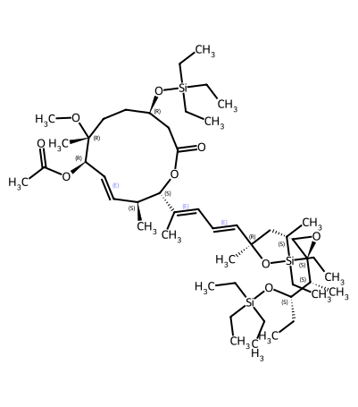 CC[C@H](O[Si](CC)(CC)CC)[C@@H](C)[C@@H]1O[C@H]1C[C@](C)(/C=C/C=C(\C)[C@H]1OC(=O)C[C@H](O[Si](CC)(CC)CC)CC[C@@](C)(OC)[C@H](OC(C)=O)/C=C/[C@@H]1C)O[Si](CC)(CC)CC